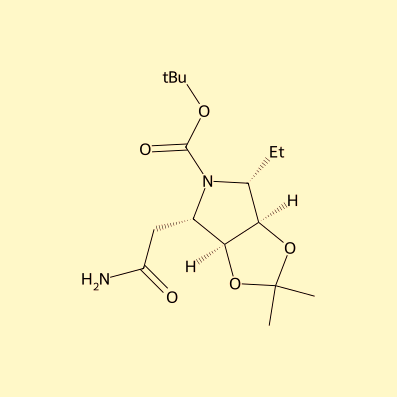 CC[C@@H]1[C@H]2OC(C)(C)O[C@H]2[C@H](CC(N)=O)N1C(=O)OC(C)(C)C